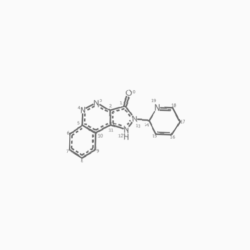 O=c1c2nnc3ccccc3c2[nH]n1C1C=CCC=N1